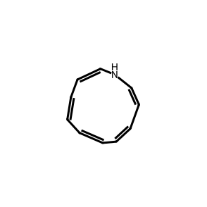 C1=CC=CC=CNC=CC=C1